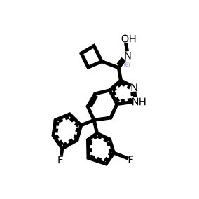 O/N=C(/c1n[nH]c2c1C=CC(c1cccc(F)c1)(c1cccc(F)c1)C2)C1CCC1